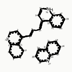 C(=Cc1ccnc2ccccc12)C=C1C=CNc2ccccc21.c1ccc2ncccc2c1